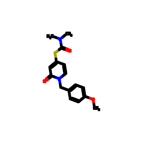 COc1ccc(Cn2ccc(SC(=O)N(C)C)cc2=O)cc1